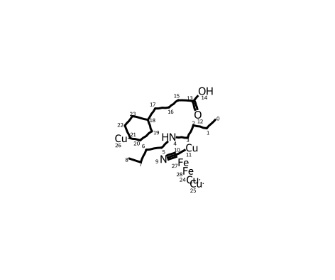 CCCCNCCCC.N#[C][Cu].O=C(O)CCCC1CCCCC1.[Cu].[Cu].[Cu].[Fe].[Fe]